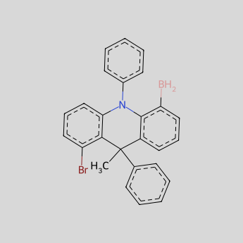 Bc1cccc2c1N(c1ccccc1)c1cccc(Br)c1C2(C)c1ccccc1